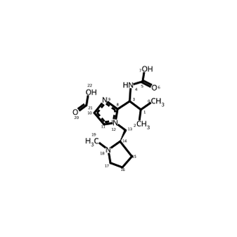 CC(C)C(NC(=O)O)c1nccn1C[C@H]1CCCN1C.O=CO